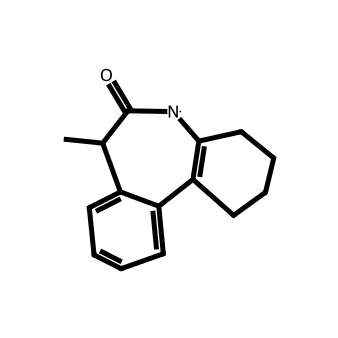 CC1C(=O)[N]C2=C(CCCC2)c2ccccc21